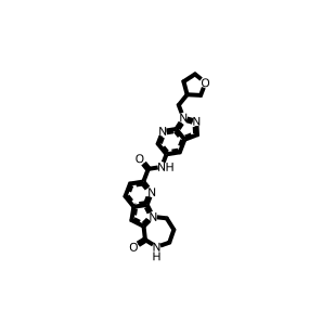 O=C(Nc1cnc2c(cnn2CC2CCOC2)c1)c1ccc2cc3n(c2n1)CCCNC3=O